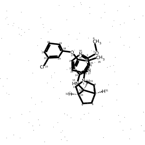 COc1cc(N2C[C@H]3CC[C@@H](C2)[C@H]3Nc2nc(Oc3cccc(Cl)c3)n(C)n2)ccn1